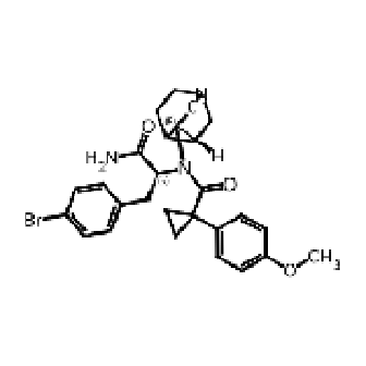 COc1ccc(C2(C(=O)N([C@@H](Cc3ccc(Br)cc3)C(N)=O)[C@H]3CN4CCC3CC4)CC2)cc1